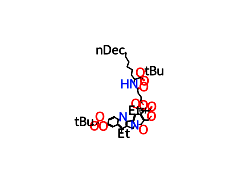 CCCCCCCCCCCCCCCCC(NC(=O)CCC(=O)O[C@]1(CC)C(=O)OCc2c1cc1n(c2=O)Cc2c-1nc1ccc(OC(=O)OC(C)(C)C)cc1c2CC)C(=O)OC(C)(C)C